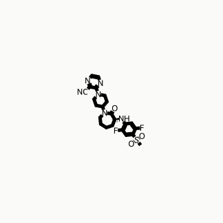 CS(=O)(=O)c1cc(F)c(N[C@H]2CCCCN(C3CCN(c4nccnc4C#N)CC3)C2=O)cc1F